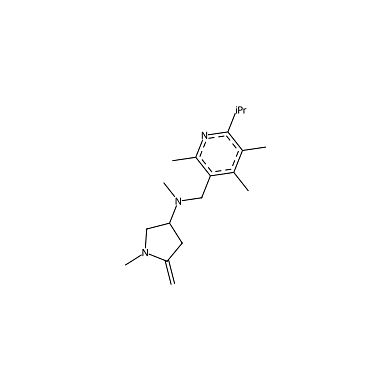 C=C1CC(N(C)Cc2c(C)nc(C(C)C)c(C)c2C)CN1C